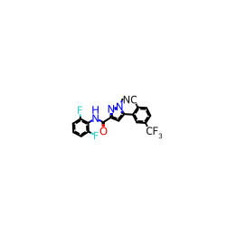 Cn1nc(C(=O)Nc2c(F)cccc2F)cc1-c1cc(C(F)(F)F)ccc1C#N